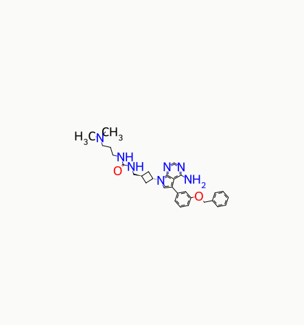 CN(C)CCCNC(=O)NC[C@H]1C[C@H](n2cc(-c3cccc(OCc4ccccc4)c3)c3c(N)ncnc32)C1